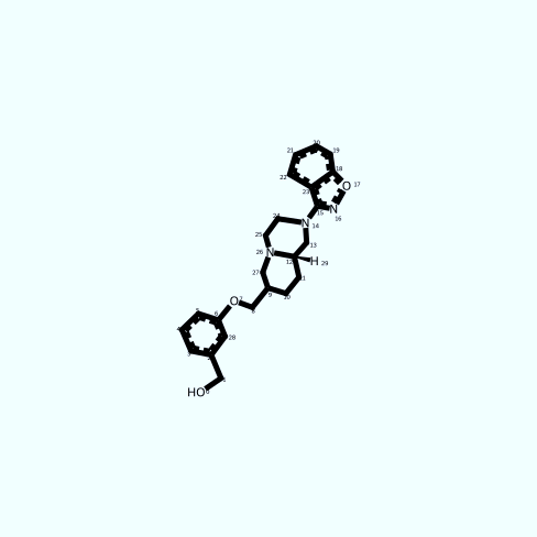 OCc1cccc(OCC2CC[C@H]3CN(c4noc5ccccc45)CCN3C2)c1